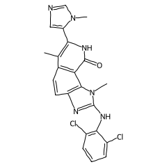 Cc1c(-c2cncn2C)[nH]c(=O)c2c1ccc1nc(Nc3c(Cl)cccc3Cl)n(C)c12